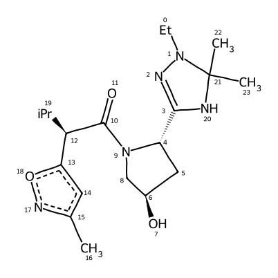 CCN1N=C([C@@H]2C[C@@H](O)CN2C(=O)[C@@H](c2cc(C)no2)C(C)C)NC1(C)C